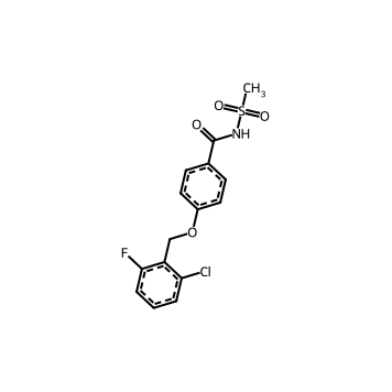 CS(=O)(=O)NC(=O)c1ccc(OCc2c(F)cccc2Cl)cc1